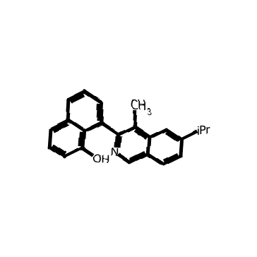 Cc1c(-c2cccc3cccc(O)c23)ncc2ccc(C(C)C)cc12